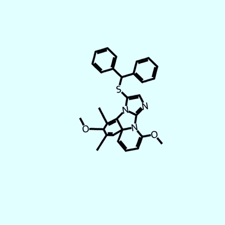 COC1=CC=CC23C=C(C)C(OC)C(C)=C2n2c(SC(c4ccccc4)c4ccccc4)cnc2N13